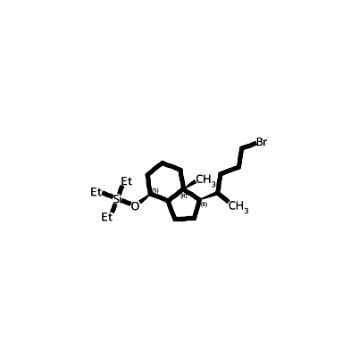 CC[Si](CC)(CC)O[C@H]1CCC[C@@]2(C)C1CC[C@@H]2C(C)CCCBr